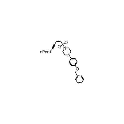 CCCCCC#C/C=C\S(=O)(=O)N1CCN(c2ccc(OCc3ccccc3)cc2)CC1